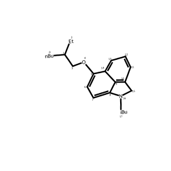 CCCCC(CC)COc1ccc2c3c(cccc13)CN2C(C)CC